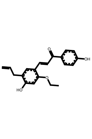 C=CCc1cc(C=CC(=O)c2ccc(O)cc2)c(OCC)cc1O